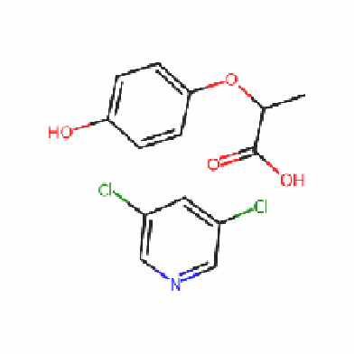 CC(Oc1ccc(O)cc1)C(=O)O.Clc1cncc(Cl)c1